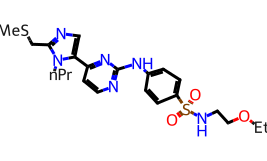 CCCn1c(-c2ccnc(Nc3ccc(S(=O)(=O)NCCOCC)cc3)n2)cnc1CSC